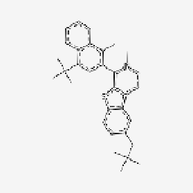 Cc1c(-c2c3sc4ccc(CC(C)(C)C)cc4c3cc[n+]2C)cc(C(C)(C)C)c2ccccc12